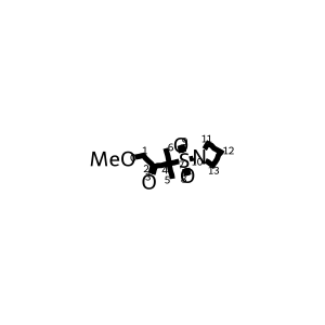 COCC(=O)C(C)(C)S(=O)(=O)N1CCC1